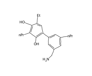 CCCc1cc(CN)cc(-c2cc(CC)c(O)c(CCC)c2O)c1